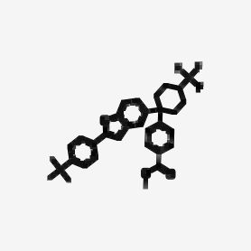 COC(=O)c1ccc(C2(c3ccc4oc(-c5ccc(C(C)(C)C)cc5)cc4c3)CCC(C(F)(F)F)CC2)cc1